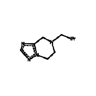 CC(C)CN1CCn2ncnc2C1